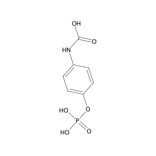 O=C(O)Nc1ccc(OP(=O)(O)O)cc1